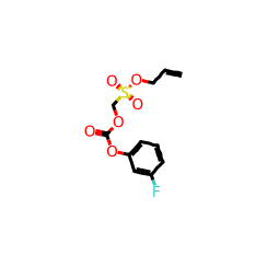 C=CCOS(=O)(=O)COC(=O)Oc1cccc(F)c1